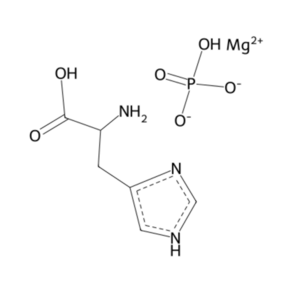 NC(Cc1c[nH]cn1)C(=O)O.O=P([O-])([O-])O.[Mg+2]